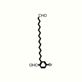 O=CCCCCCCCCCCCCCCCc1cc(Br)ccc1C=O